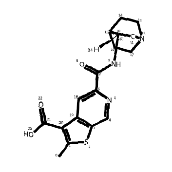 Cc1sc2cnc(C(=O)N[C@H]3CN4CCC3CC4)cc2c1C(=O)O